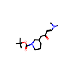 CN(C)/C=C/C(=O)CC1CCCN(C(=O)OC(C)(C)C)C1